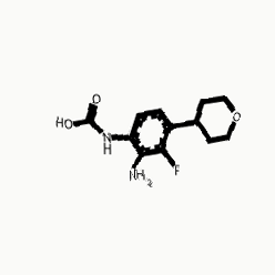 Nc1c(NC(=O)O)ccc(C2CCOCC2)c1F